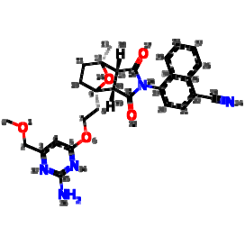 COCc1cc(OCC[C@]23CC[C@](C)(O2)[C@@H]2C(=O)N(c4ccc(C#N)c5ccccc45)C(=O)[C@@H]23)nc(N)n1